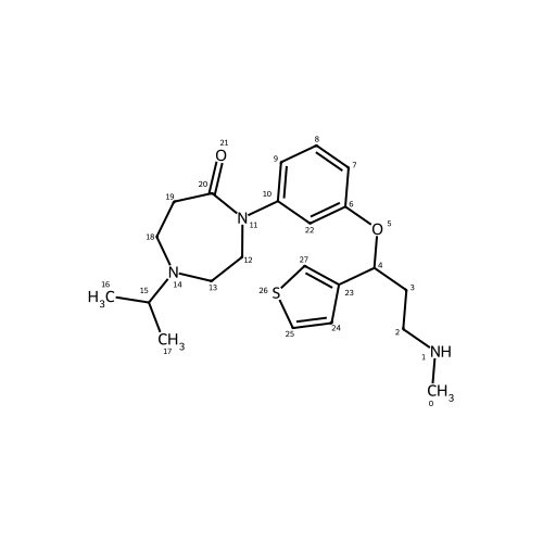 CNCCC(Oc1cccc(N2CCN(C(C)C)CCC2=O)c1)c1ccsc1